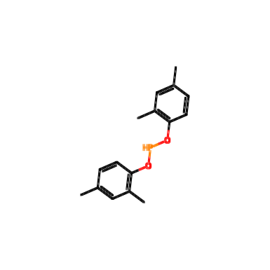 Cc1ccc(OPOc2ccc(C)cc2C)c(C)c1